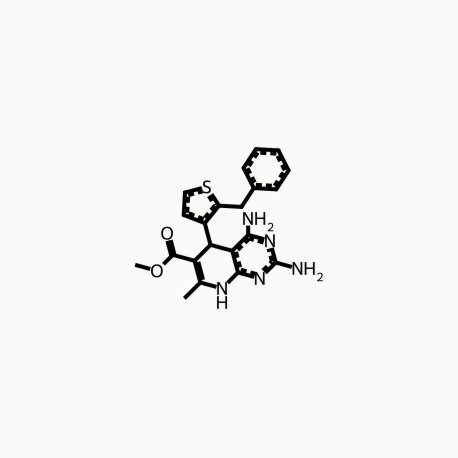 COC(=O)C1=C(C)Nc2nc(N)nc(N)c2C1c1ccsc1Cc1ccccc1